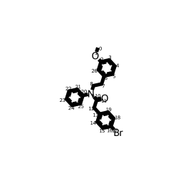 COc1cccc(CCN(C(=O)Cc2ccc(Br)cc2)c2ccccc2)c1